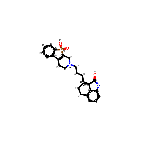 O=C1Nc2cccc3c2C1(CCCCN1CCC2=C(C1)S(=O)(=O)c1ccccc12)CCC3